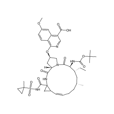 CC[C@@H]1C[C@H](C)CC/C=C\C2CC2(C(=O)NS(=O)(=O)C2(C)CC2)NC(=O)[C@@H]2C[C@@H](Oc3ncc(C(=O)O)c4cc(OC)ccc34)CN2C(=O)[C@H]1NC(=O)OC(C)(C)C